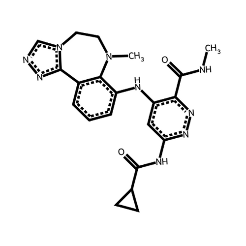 CNC(=O)c1nnc(NC(=O)C2CC2)cc1Nc1cccc2c1N(C)CCn1cnnc1-2